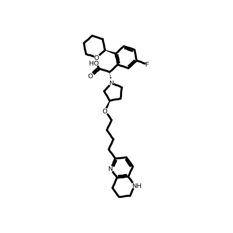 O=C(O)[C@H](c1cc(F)ccc1[C@@H]1CCCCO1)N1CC[C@@H](OCCCCc2ccc3c(n2)CCCN3)C1